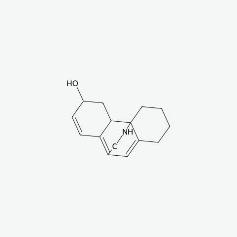 OC1C=CC2=C3C=C4CCCCC4(NC3)C2C1